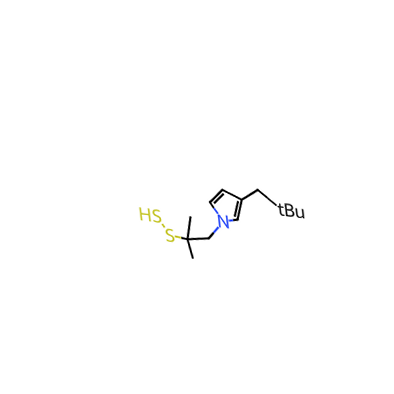 CC(C)(C)Cc1ccn(CC(C)(C)SS)c1